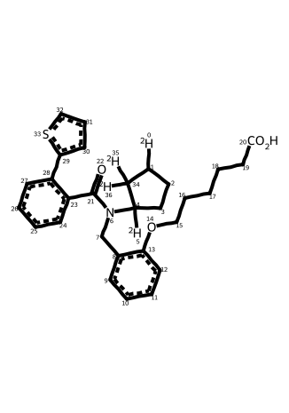 [2H]C1CCC([2H])(N(Cc2ccccc2OCCCCCC(=O)O)C(=O)c2ccccc2-c2cccs2)C1([2H])[2H]